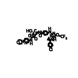 O=C(NC[C@H](NC(=O)c1ccc(Nc2nc(NC3(c4ccc(Cl)cc4)CC3)nc(OCC(F)(F)F)n2)cc1)C(=O)O)C(=O)Nc1ccc(N2CCOCC2)nc1